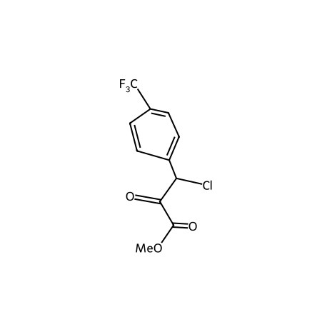 COC(=O)C(=O)C(Cl)c1ccc(C(F)(F)F)cc1